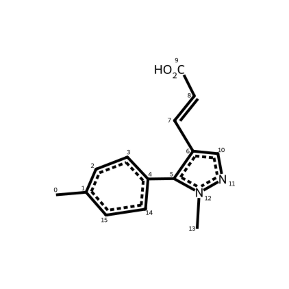 Cc1ccc(-c2c(C=CC(=O)O)cnn2C)cc1